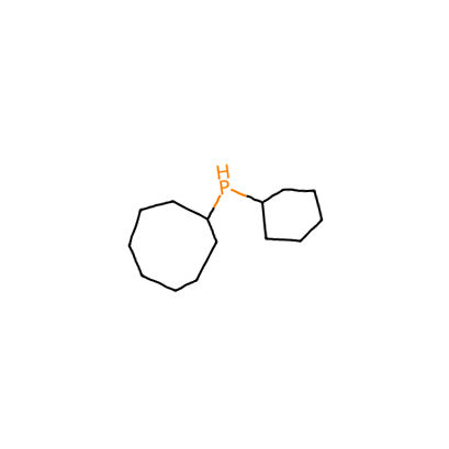 C1CCCC(PC2CCCCC2)CCC1